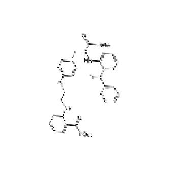 CCCCCCCCC(=O)c1ccccc1NCCOc1ccc(CC(Nc2ccccc2C(=O)c2ccccc2)C(=O)OC)cc1